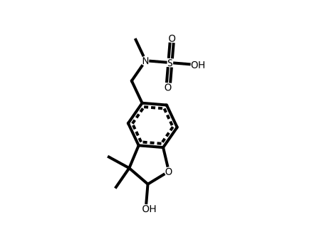 CN(Cc1ccc2c(c1)C(C)(C)C(O)O2)S(=O)(=O)O